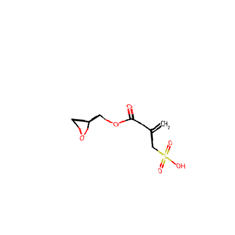 C=C(CS(=O)(=O)O)C(=O)OCC1CO1